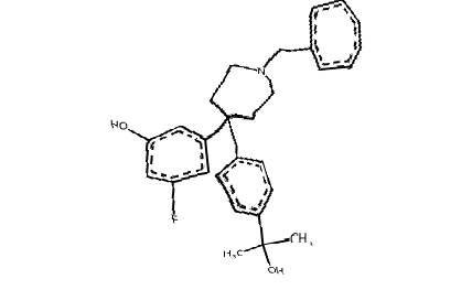 CC(C)(O)c1ccc(C2(c3cc(O)cc(F)c3)CCN(Cc3ccccc3)CC2)cc1